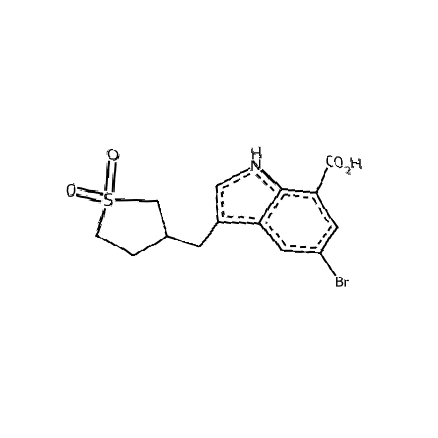 O=C(O)c1cc(Br)cc2c(CC3CCS(=O)(=O)C3)c[nH]c12